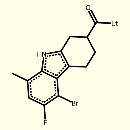 CCC(=O)C1CCc2c([nH]c3c(C)cc(F)c(Br)c23)C1